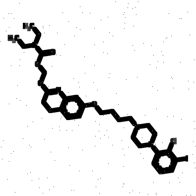 CCN(CC)C(=O)OCOC1=Nc2cc(OCCCCN3CCN(c4cccc(I)c4Cl)CC3)ccc2CC1